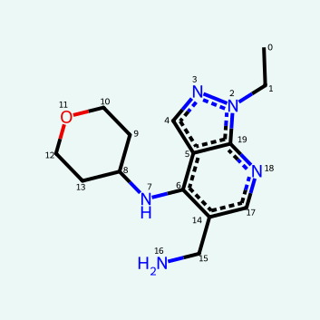 CCn1ncc2c(NC3CCOCC3)c(CN)cnc21